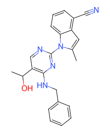 Cc1cc2c(C#N)cccc2n1-c1ncc(C(C)O)c(NCc2ccccc2)n1